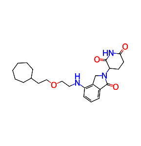 O=C1CCC(N2Cc3c(NCCOCCC4CCCCCC4)cccc3C2=O)C(=O)N1